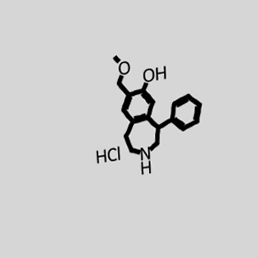 COCc1cc2c(cc1O)C(c1ccccc1)CNCC2.Cl